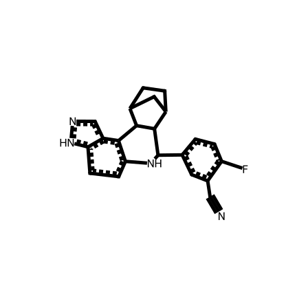 N#Cc1cc(C2Nc3ccc4[nH]ncc4c3C3C4CCC(C4)C23)ccc1F